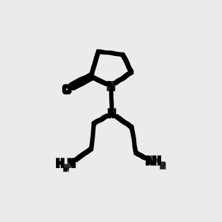 NCCN(CCN)N1CCCC1=O